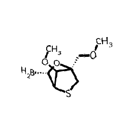 B[C@@H]1O[C@@]2(COC)CSC1C2OC